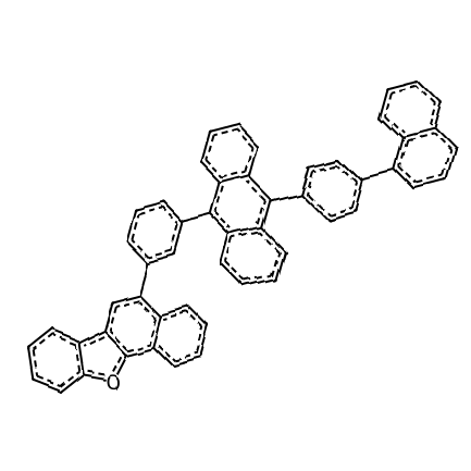 c1cc(-c2c3ccccc3c(-c3ccc(-c4cccc5ccccc45)cc3)c3ccccc23)cc(-c2cc3c4ccccc4oc3c3ccccc23)c1